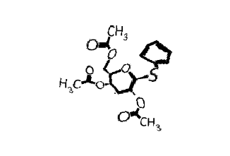 CC(=O)OC[C@H]1O[C@@H](Sc2ccccc2)[C@H](OC(C)=O)[CH][C@H]1OC(C)=O